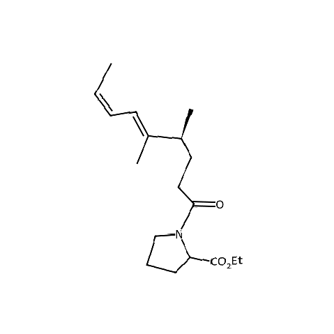 C/C=C\C=C(/C)[C@@H](C)CCC(=O)N1CCCC1C(=O)OCC